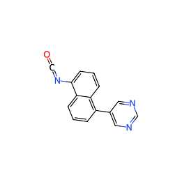 O=C=Nc1cccc2c(-c3cncnc3)cccc12